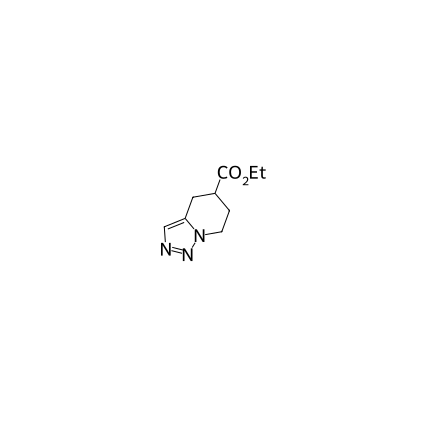 CCOC(=O)C1CCn2nncc2C1